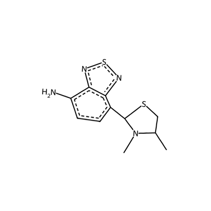 CC1CSC(c2ccc(N)c3nsnc23)N1C